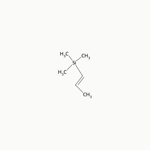 CC=C[Si](C)(C)C